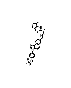 Cc1cccc(C)c1NC(=O)N(C)S/N=C/c1ccc2c(ccc3c2ncn3-c2ccc(OC(F)(F)F)cc2)c1